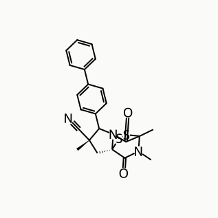 CN1C(=O)[C@@]23C[C@](C)(C#N)C(c4ccc(-c5ccccc5)cc4)N2C(=O)C1(C)SS3